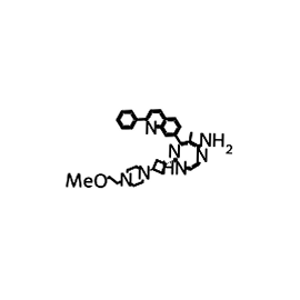 COCCN1CCN([C@H]2C[C@@H](c3nc(-c4ccc5ccc(-c6ccccc6)nc5c4)c(C)c(N)ncc[nH]3)C2)CC1